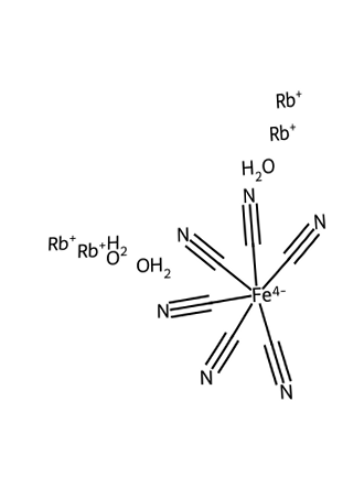 N#[C][Fe-4]([C]#N)([C]#N)([C]#N)([C]#N)[C]#N.O.O.O.[Rb+].[Rb+].[Rb+].[Rb+]